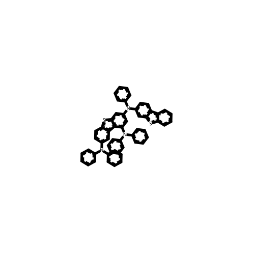 c1ccc(N(c2ccc3c(c2)sc2ccccc23)c2cc(N(c3ccccc3)c3ccccc3)c3c(c2)sc2ccc(N(c4ccccc4)c4ccccc4)cc23)cc1